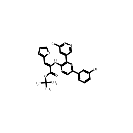 CC(C)(C)OC(=O)/C(=C/c1ccco1)Nc1ncc(-c2cccc(O)c2)nc1-c1cnnc(Cl)c1